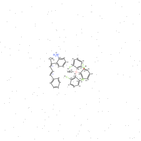 C/C(=C/C=C/c1ccccc1)c1ccccc1[NH3+].CCCC[B-](c1c(F)cccc1F)(c1c(F)cccc1F)c1c(F)cccc1F